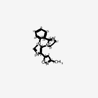 Cc1cc(-c2ncn3c2N2CCN=C2c2ccccc2-3)on1